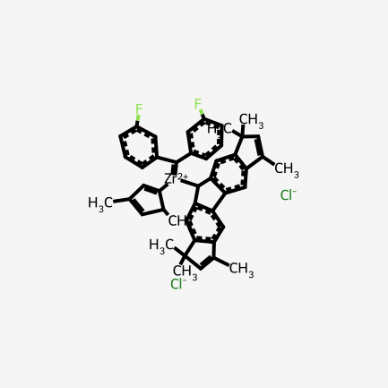 CC1=CC(C)[C]([Zr+2](=[C](c2cccc(F)c2)c2cccc(F)c2)[CH]2c3cc4c(cc3-c3cc5c(cc32)C(C)(C)C=C5C)C(C)=CC4(C)C)=C1.[Cl-].[Cl-]